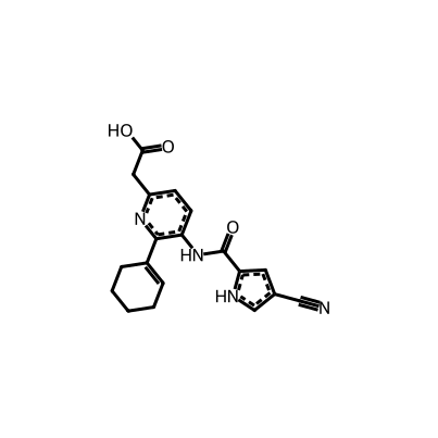 N#Cc1c[nH]c(C(=O)Nc2ccc(CC(=O)O)nc2C2=CCCCC2)c1